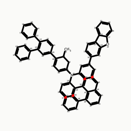 CC1CC(N(c2cccc(-c3ccc4c(c3)oc3ccccc34)c2)c2ccccc2-c2cccc3cccc(-c4ccccc4)c23)=CC=C1c1ccc(-c2ccccc2)c(-c2ccccc2)c1